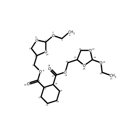 CCOC1OCC(COC(=O)C2CCCCC2C(=O)OCC2COC(OCC)O2)O1